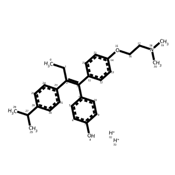 CC/C(=C(/c1ccc(O)cc1)c1ccc(OCCN(C)C)cc1)c1ccc(C(C)C)cc1.[H+].[H+]